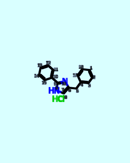 Cl.c1ccc(Cc2c[nH]c(-c3ccccc3)n2)cc1